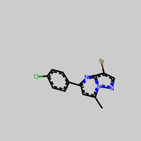 Cc1cc(-c2ccc(Cl)cc2)nc2c(Br)cnn12